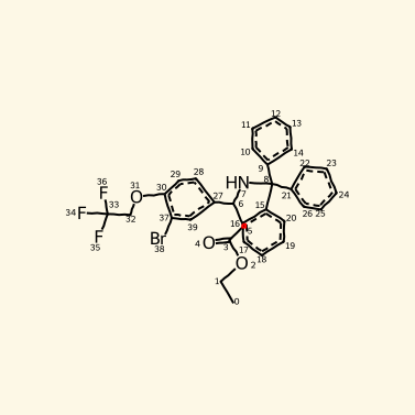 CCOC(=O)CC(NC(c1ccccc1)(c1ccccc1)c1ccccc1)c1ccc(OCC(F)(F)F)c(Br)c1